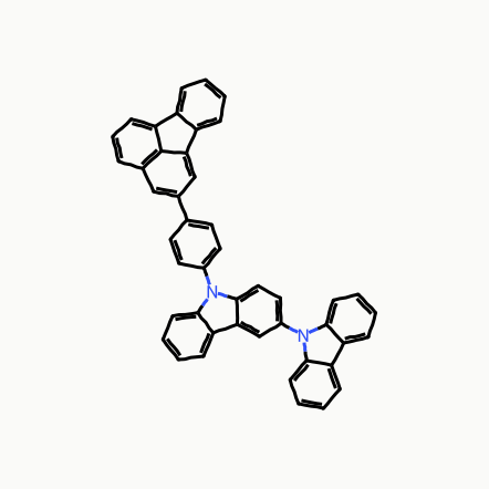 c1ccc2c(c1)-c1cccc3cc(-c4ccc(-n5c6ccccc6c6cc(-n7c8ccccc8c8ccccc87)ccc65)cc4)cc-2c13